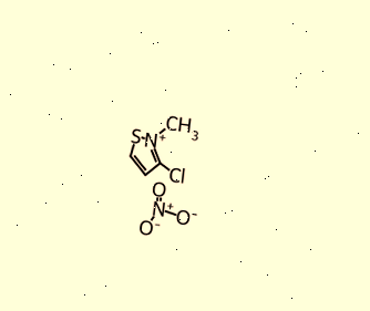 C[n+]1sccc1Cl.O=[N+]([O-])[O-]